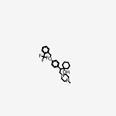 CN1CCN(CC(c2ccc(OCc3ccccc3C(F)(F)F)cc2)C2(O)CCCCC2)CC1